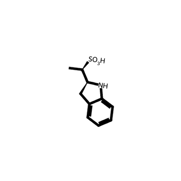 C[C@H]([C@@H]1Cc2ccccc2N1)S(=O)(=O)O